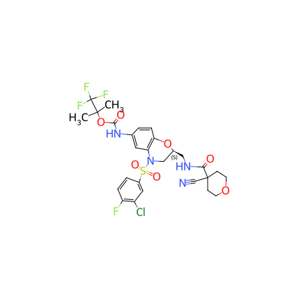 CC(C)(OC(=O)Nc1ccc2c(c1)N(S(=O)(=O)c1ccc(F)c(Cl)c1)C[C@H](CNC(=O)C1(C#N)CCOCC1)O2)C(F)(F)F